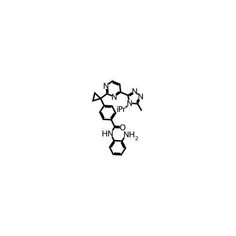 Cc1nnc(-c2ccnc(C3(c4ccc(C(=O)Nc5ccccc5N)cc4)CC3)n2)n1C(C)C